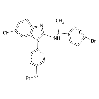 CCOc1ccc(-n2c(NC(C)c3ccc(Br)cc3)nc3ccc(Cl)cc32)cc1